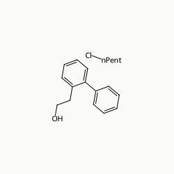 CCCCCCl.OCCc1ccccc1-c1ccccc1